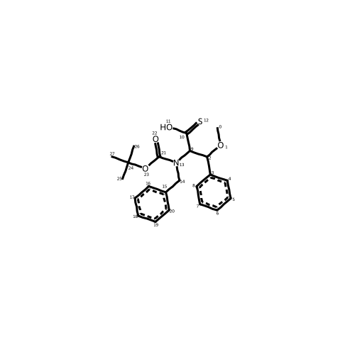 COC(c1ccccc1)C(C(O)=S)N(Cc1ccccc1)C(=O)OC(C)(C)C